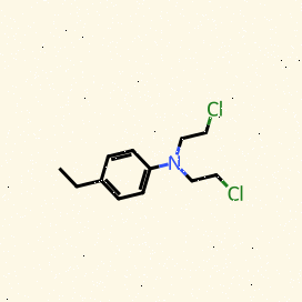 CCc1ccc(N(CCCl)CCCl)cc1